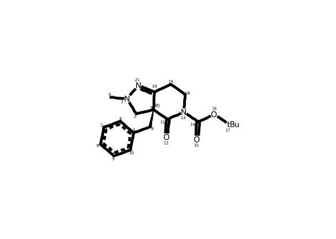 CN1C[C@@]2(Cc3ccccc3)C(=O)N(C(=O)OC(C)(C)C)CCC2=N1